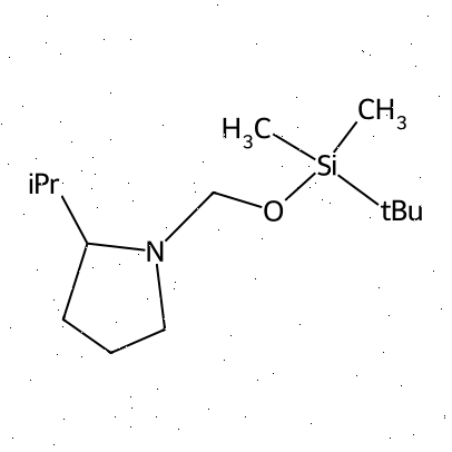 CC(C)C1CCCN1CO[Si](C)(C)C(C)(C)C